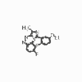 CCOc1ccc(F)c(-c2nc(C)c3nnc4ccc(F)cc4n23)c1